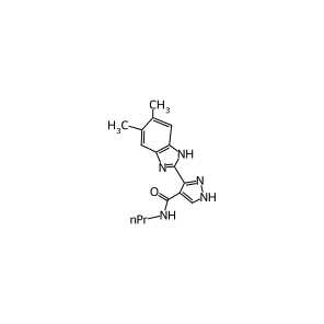 CCCNC(=O)c1c[nH]nc1-c1nc2cc(C)c(C)cc2[nH]1